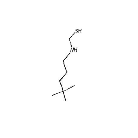 CC(C)(C)CCCNCS